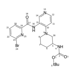 CC(C)(C)OC(=O)NC1CCCN(c2ccncc2NC(=O)c2cccc(Br)n2)C1